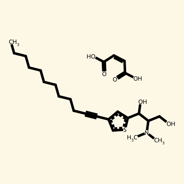 CCCCCCCCCCC#Cc1csc(C(O)C(CO)N(C)C)c1.O=C(O)/C=C\C(=O)O